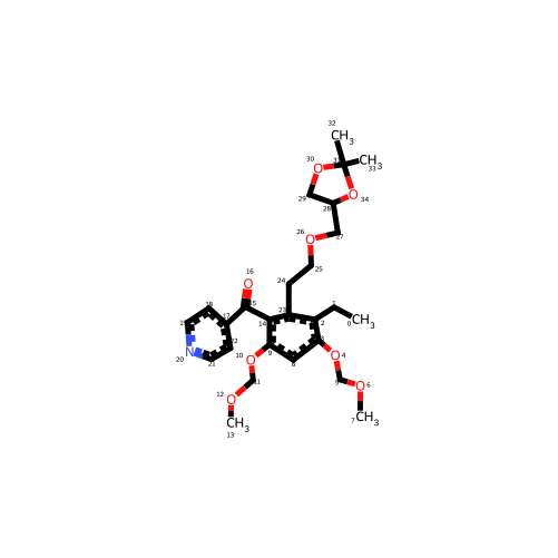 CCc1c(OCOC)cc(OCOC)c(C(=O)c2ccncc2)c1CCOCC1COC(C)(C)O1